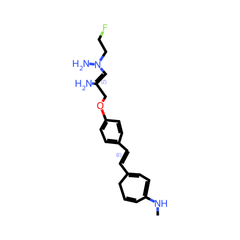 CNC1=CC=C(/C=C/c2ccc(OC/C(N)=C/N(N)CCF)cc2)CC=C1